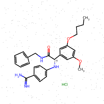 CCCCOc1cc(OC)cc([C@H](Nc2ccc(C(=N)N)cc2)C(=O)NCc2ccccc2)c1.Cl